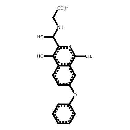 Cc1nc(C(O)NCC(=O)O)c(O)c2ccc(Oc3ccccc3)cc12